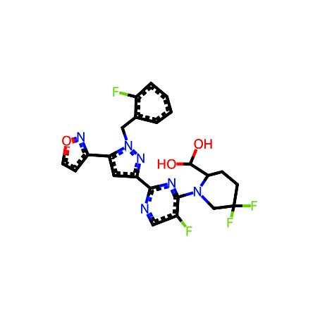 OC(O)C1CCC(F)(F)CN1c1nc(-c2cc(-c3ccon3)n(Cc3ccccc3F)n2)ncc1F